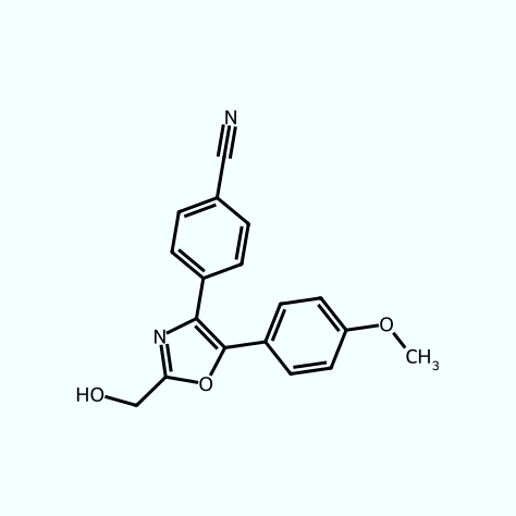 COc1ccc(-c2oc(CO)nc2-c2ccc(C#N)cc2)cc1